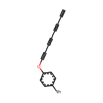 C#CC#CC#CC#COc1ccc(C(C)C)cc1